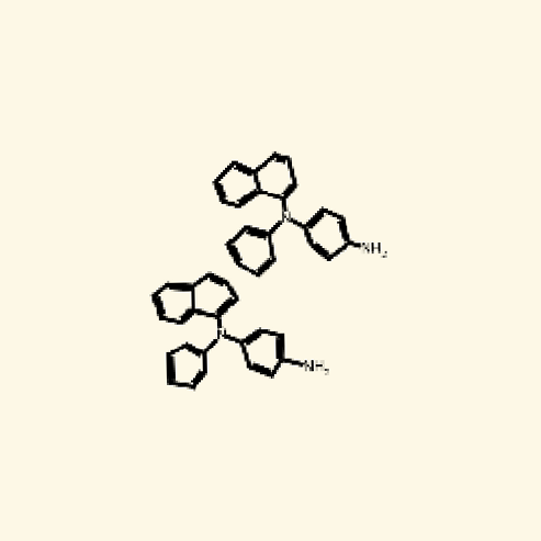 Nc1ccc(N(c2ccccc2)c2cccc3ccccc23)cc1.Nc1ccc(N(c2ccccc2)c2cccc3ccccc23)cc1